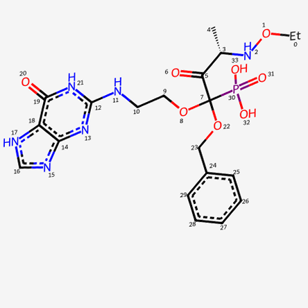 CCON[C@@H](C)C(=O)C(OCCNc1nc2nc[nH]c2c(=O)[nH]1)(OCc1ccccc1)P(=O)(O)O